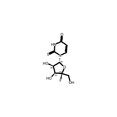 O=c1ccn([C@@H]2O[C@](F)(CO)[C@@H](O)[C@H]2O)c(=S)[nH]1